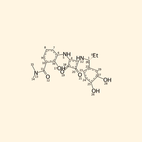 CC[C@@H](Nc1c(Nc2cccc(C(=O)N(C)C)c2O)c(=O)c1=O)c1ccc(O)c(O)c1